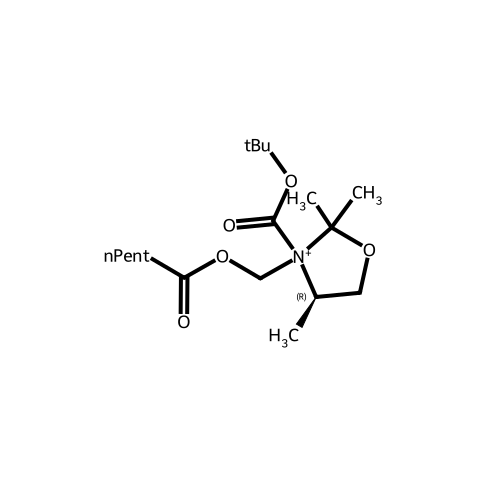 CCCCCC(=O)OC[N+]1(C(=O)OC(C)(C)C)[C@H](C)COC1(C)C